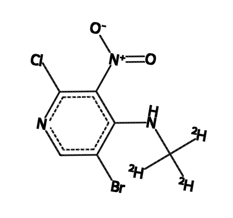 [2H]C([2H])([2H])Nc1c(Br)cnc(Cl)c1[N+](=O)[O-]